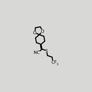 N#CC(SCCC(F)(F)F)=C1CCC2(CC1)OCCO2